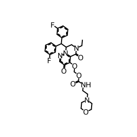 CCN1CC(C(c2cccc(F)c2)c2cccc(F)c2)n2ncc(=O)c(OCOC(=O)NCCN3CCOCC3)c2C1=O